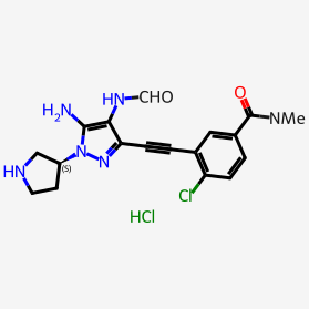 CNC(=O)c1ccc(Cl)c(C#Cc2nn([C@H]3CCNC3)c(N)c2NC=O)c1.Cl